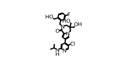 CC(C)Nc1cc(-c2cc3n(c2)CC(CO)(CO)CN(Cc2cc(F)ccc2CO)C3=O)c(Cl)cn1